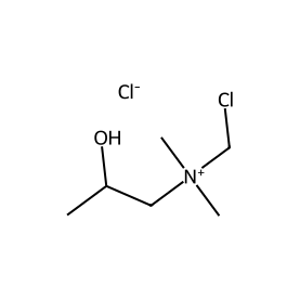 CC(O)C[N+](C)(C)CCl.[Cl-]